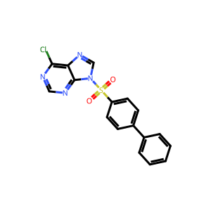 O=S(=O)(c1ccc(-c2ccccc2)cc1)n1cnc2c(Cl)ncnc21